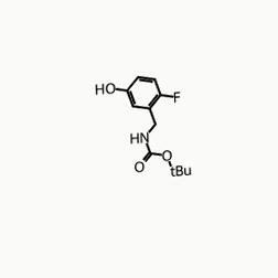 CC(C)(C)OC(=O)NCc1cc(O)ccc1F